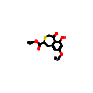 COC(=O)C1Cc2cc(OC)cc(O)c2C(=O)CS1